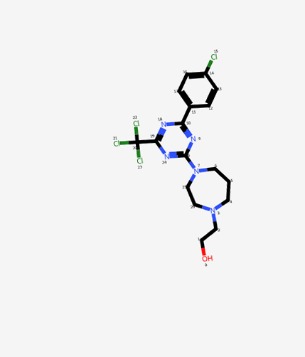 OCCN1CCCN(c2nc(-c3ccc(Cl)cc3)nc(C(Cl)(Cl)Cl)n2)CC1